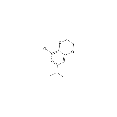 CC(C)c1cc(Cl)c2c(c1)OCCO2